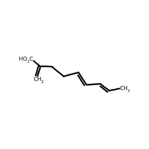 C=C(CCC=CC=CC)C(=O)O